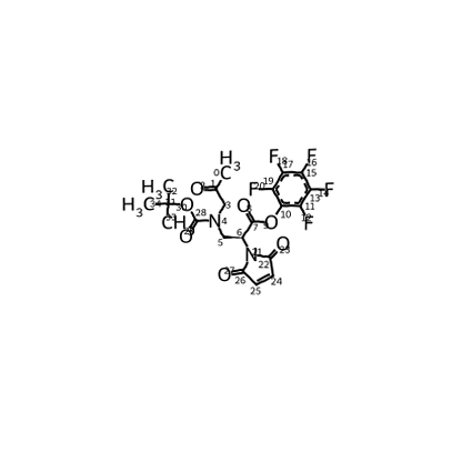 CC(=O)CN(C[C@@H](C(=O)Oc1c(F)c(F)c(F)c(F)c1F)N1C(=O)C=CC1=O)C(=O)OC(C)(C)C